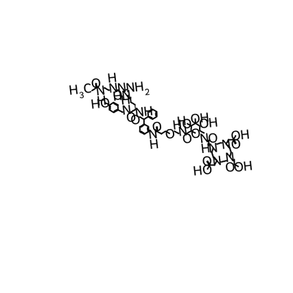 CCC(=O)NCCNC(=O)/N=C(/N)NCCC[C@@H](NC(=O)C(c1ccccc1)c1cccc(NC(=O)CCOCCNC(=O)C2OC(CNC(=O)CN3CCN(CC(=O)O)CCN(CC(=O)O)CCN(CC(=O)O)CC3)C(O)C(O)C2O)c1)C(=O)NCc1ccc(O)cc1